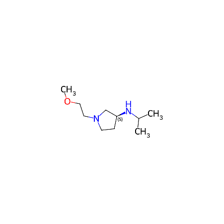 COCCN1CC[C@H](NC(C)C)C1